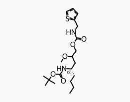 CCCC[C@@H](CC(COC(=O)NCc1cccs1)OC)NC(=O)OC(C)(C)C